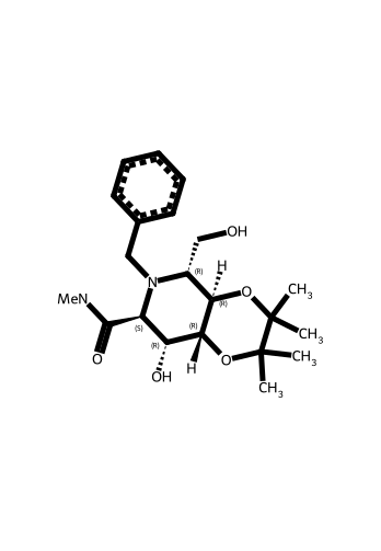 CNC(=O)[C@@H]1[C@@H](O)[C@H]2OC(C)(C)C(C)(C)O[C@@H]2[C@@H](CO)N1Cc1ccccc1